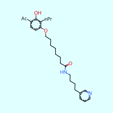 CCCc1c(OCCCCCCCC(=O)NCCCCc2cccnc2)ccc(C(C)=O)c1O